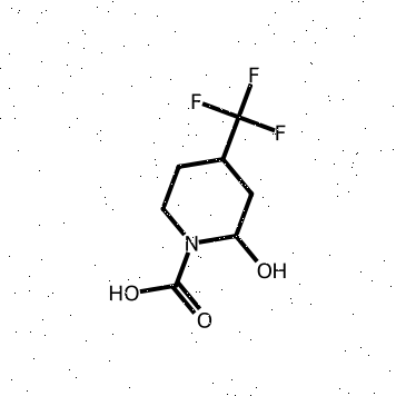 O=C(O)N1CCC(C(F)(F)F)CC1O